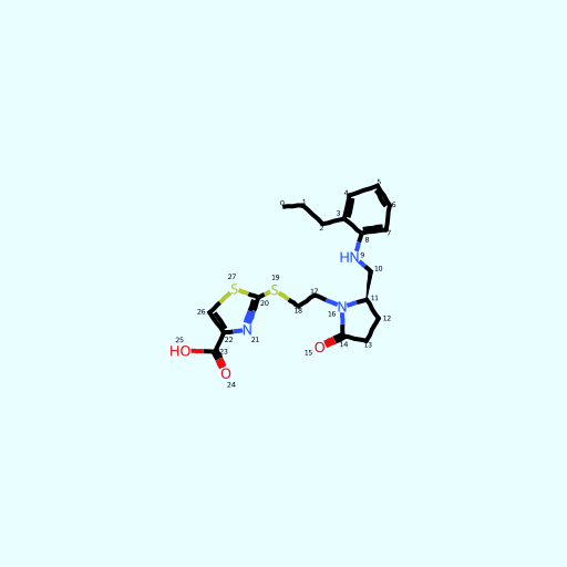 CCCc1ccccc1NC[C@H]1CCC(=O)N1CCSc1nc(C(=O)O)cs1